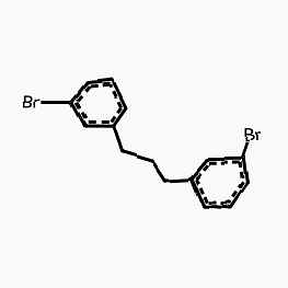 Brc1cccc(CCCc2cccc(Br)c2)c1